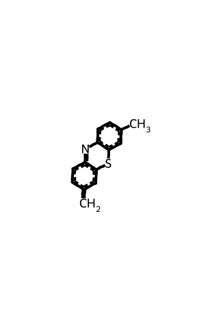 C=c1ccc2c(c1)Sc1cc(C)ccc1N=2